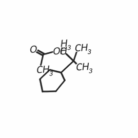 CC(=O)O.CC(C)(C)C1CCCCC1